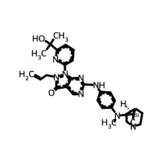 C=CCn1c(=O)c2cnc(Nc3ccc(N(C)[C@@H]4CN5CCC4CC5)cc3)nc2n1-c1cccc(C(C)(C)O)n1